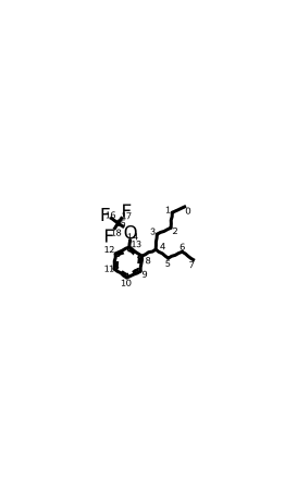 CCCCC(CCC)c1ccccc1OC(F)(F)F